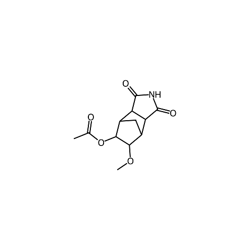 COC1C2CC(C1OC(C)=O)C1C(=O)NC(=O)C21